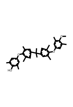 COc1c(C)cc(Oc2c(C)cc(C(C)(C)c3cc(C)c(Oc4cc(C)c(O)c(C)c4)c(C)c3)cc2C)cc1C